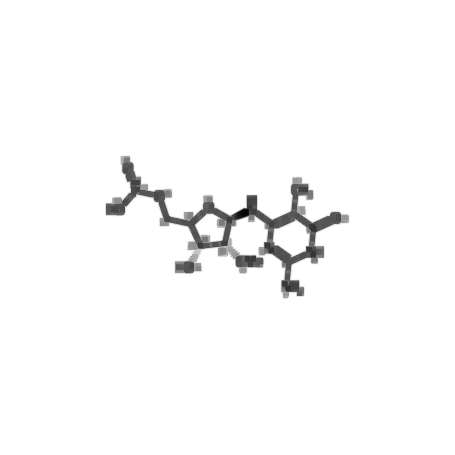 CO[C@H]1[C@H](Nc2nc(N)[nH]c(=O)c2C)OC(CO[PH](=O)O)[C@H]1O